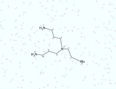 CC(C)(C)CCN(CCCN)CCCN